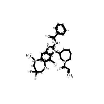 C=CC(=O)N1CCCCC(n2c(NC(=O)c3ccccc3)nc3cc4c(c(Cl)c32)OCC(F)(F)CN4C)C1